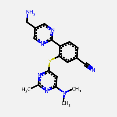 Cc1nc(Sc2cc(C#N)ccc2-c2ncc(CN)cn2)cc(N(C)C)n1